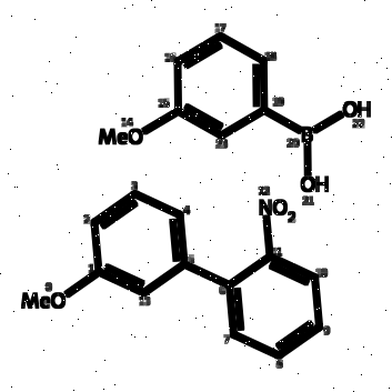 COc1cccc(-c2ccccc2[N+](=O)[O-])c1.COc1cccc(B(O)O)c1